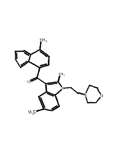 Cc1ccc2c(c1)c(C(=O)c1ccc(C)c3ccccc13)c(C)n2CCN1CCOCC1